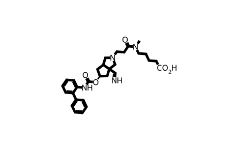 CN(CCCCC(=O)O)C(=O)CCN1CC2C[C@H](OC(=O)Nc3ccccc3-c3ccccc3)CC2(C=N)C1